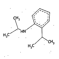 CC(C)Nc1ccccc1C(C)C